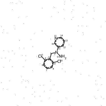 NN(Cc1c(Cl)cccc1Cl)c1cccnc1